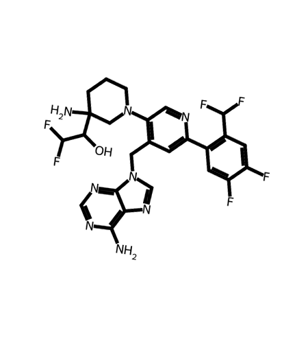 Nc1ncnc2c1ncn2Cc1cc(-c2cc(F)c(F)cc2C(F)F)ncc1N1CCCC(N)(C(O)C(F)F)C1